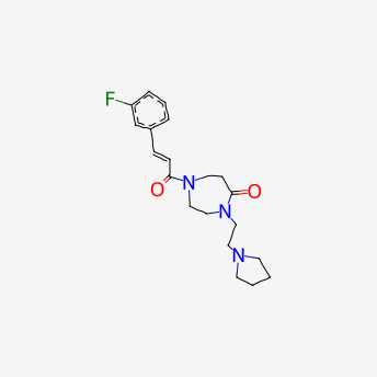 O=C(/C=C/c1cccc(F)c1)N1CCC(=O)N(CCN2CCCC2)CC1